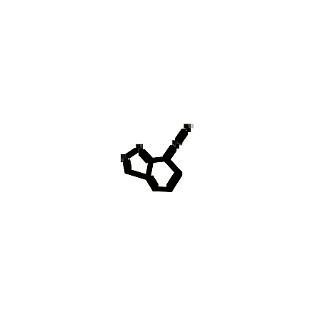 [N-]=[N+]=C1C=CC=C2C=NN=C21